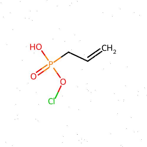 C=CCP(=O)(O)OCl